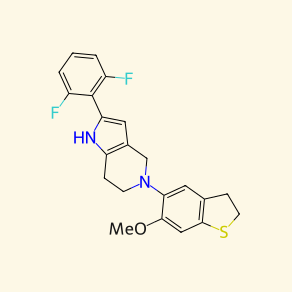 COc1cc2c(cc1N1CCc3[nH]c(-c4c(F)cccc4F)cc3C1)CCS2